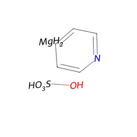 O=S(=O)(O)O.[MgH2].c1ccncc1